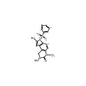 CN1C(=O)N(C(C)(C)C)Cc2c1cnc1c2cc(Br)n1S(=O)(=O)c1ccccc1